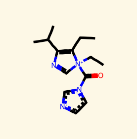 CCC1=C(C(C)C)N=C[N+]1(CC)C(=O)n1ccnc1